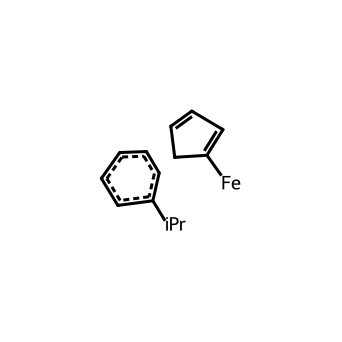 CC(C)c1ccccc1.[Fe][C]1=CC=CC1